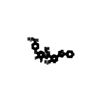 CNC1CCC(Oc2ccc(N/C(=N\N=N)c3cc(-c4cnn(C5CCOCC5)c4)cnc3N)c(F)c2F)CC1